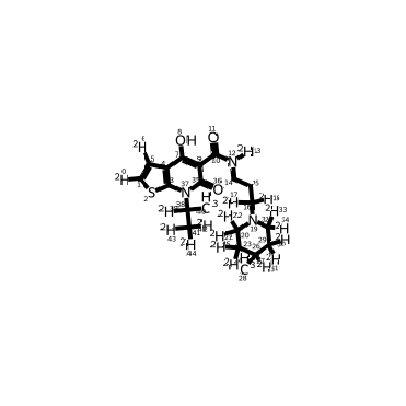 [2H]c1sc2c(c1[2H])c(O)c(C(=O)N([2H])CCC([2H])([2H])N1C([2H])([2H])C([2H])([2H])C([2H])(C)C([2H])([2H])C1([2H])[2H])c(=O)n2C([2H])(C)C([2H])([2H])[2H]